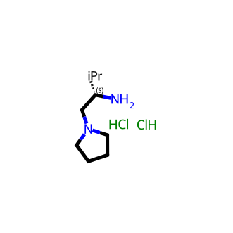 CC(C)[C@H](N)CN1CCCC1.Cl.Cl